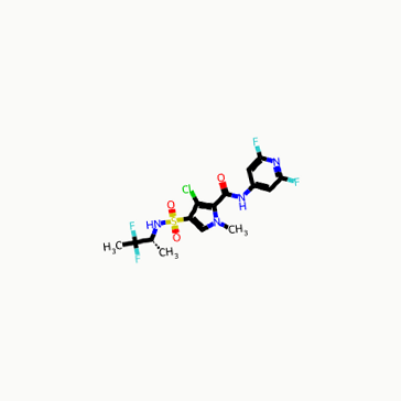 C[C@@H](NS(=O)(=O)c1cn(C)c(C(=O)Nc2cc(F)nc(F)c2)c1Cl)C(C)(F)F